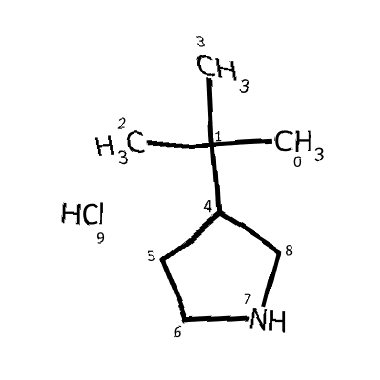 CC(C)(C)C1CCNC1.Cl